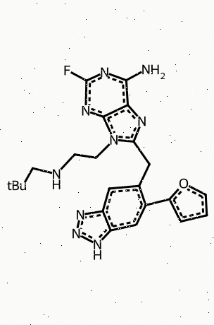 CC(C)(C)CNCCn1c(Cc2cc3nn[nH]c3cc2-c2ccco2)nc2c(N)nc(F)nc21